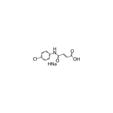 O=C(O)C=CC(=O)Nc1ccc(Cl)cc1.[NaH]